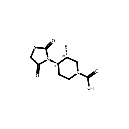 O=C(O)N1CC[C@@H](N2C(=O)CSC2=O)[C@H](F)C1